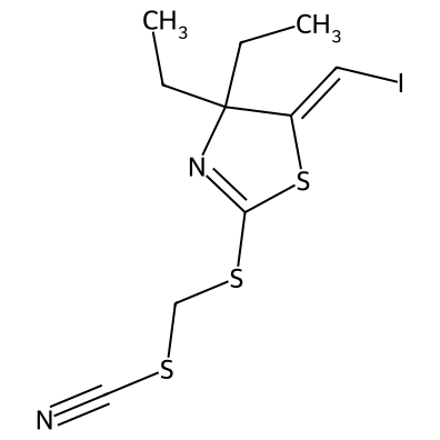 CCC1(CC)N=C(SCSC#N)SC1=CI